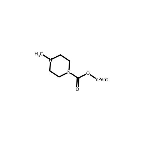 CCCCCOC(=O)N1CCN(C)CC1